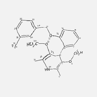 CC1=C(OC(=O)O)C(c2ccccc2OCc2cccc(C(F)(F)F)c2)C(OC(=O)O)=C(C)N1